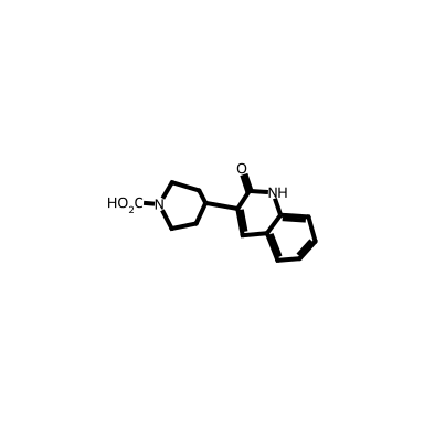 O=C(O)N1CCC(c2cc3ccccc3[nH]c2=O)CC1